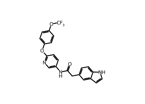 O=C(Cc1ccc2[nH]ccc2c1)Nc1ccc(Oc2ccc(OC(F)(F)F)cc2)nc1